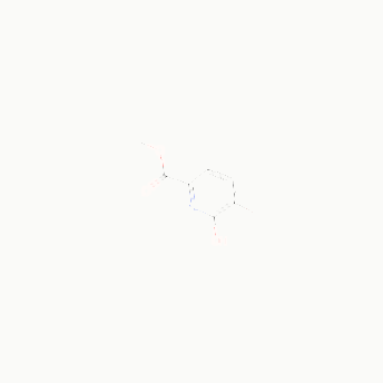 COC(=O)c1ccc(Br)c(O)n1